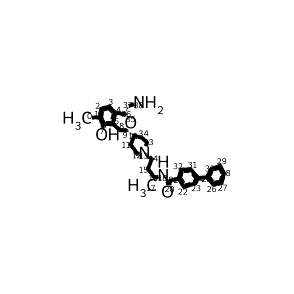 Cc1ccc2c(c1O)C[C@@H](C1CCN(CCC(C)NC(=O)c3ccc(-c4ccccc4)cc3)CC1)O[C@H]2CN